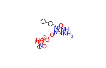 Nc1nc2c(c(=O)[nH]1)[n+](Cc1ccc(-c3ccccc3)cc1)cn2COCCOP(=O)(O)CP(=O)(O)n1cccc1